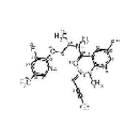 CCC#C/C=N\N(C)c1ncc(F)cc1C(=O)N(CC)[C@@H](C)COc1ncc(C(F)(F)F)cc1F